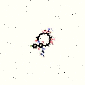 COC1C=CC=C(C)C(=O)NC2=C(c3ccc(F)cc3)C(=O)C(NCCN(C)C)=C(CC(C)CC(OC)C(O)C(C)C=C(C)C1OC(N)=O)C2=O